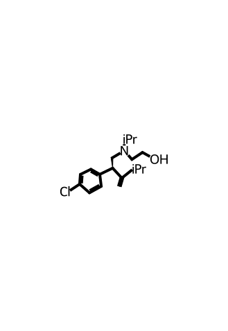 C=C(C(C)C)[C@H](CN(CCO)C(C)C)c1ccc(Cl)cc1